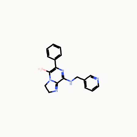 BC1=C(c2ccccc2)N=C(NCc2cccnc2)C2=NCCN21